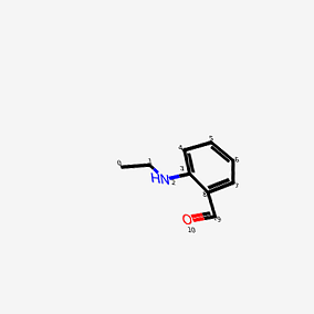 CCNc1ccccc1[C]=O